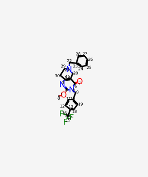 COc1nc2c(c(=O)n1Cc1ccc(C(F)(F)F)cc1)CN(Cc1ccccc1)CC2